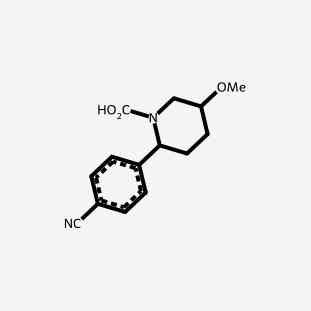 COC1CCC(c2ccc(C#N)cc2)N(C(=O)O)C1